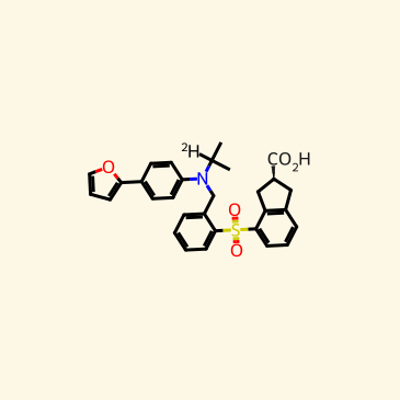 [2H]C(C)(C)N(Cc1ccccc1S(=O)(=O)c1cccc2c1C[C@@H](C(=O)O)C2)c1ccc(-c2ccco2)cc1